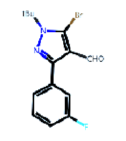 CC(C)(C)n1nc(-c2cccc(F)c2)c(C=O)c1Br